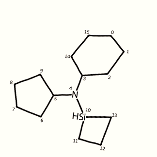 C1CCC(N(C2CCCC2)[SiH]2CCC2)CC1